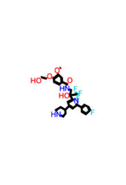 COc1cc(C(=O)NCC(O)(c2cc(C3CCNCC3)cc(-c3ccc(F)cc3)n2)C(F)(F)F)ccc1OCCO